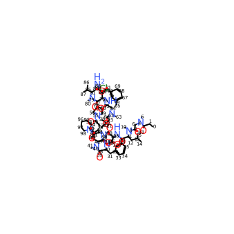 CCC(=O)N(C)CC(=O)N(C)C(CC(C)C)C(=O)NC(COC(C)(C)C)C(=O)N(C)C(Cc1ccccc1)C(=O)N(C)C(CC(C)C)C(=O)N(C)[C@@H](CC(=O)N1CCC[C@@H]1C(=O)N(C)[C@@H](Cc1cccc(Cl)c1)C(=O)NC(C(=O)N(C)C(C(N)=O)C(C)C)C(C)C)C(=O)N1CCCCC1